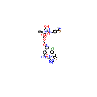 Cc1ncsc1-c1ccc(CNC(=O)[C@@H]2C[C@@H](O)CN2C(=O)C(OC(=O)COCCOc2cc(-c3ccc([C@@H](C)NC(=O)C[C@@H]4N=C(c5ccc(Cl)cc5)c5c(sc(C)c5C)-n5c(C)nnc54)cc3)ccn2)C(C)(C)C)cc1